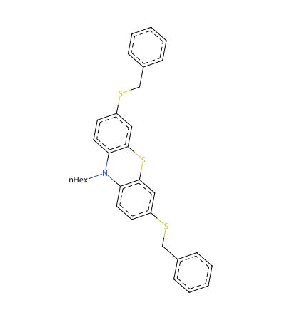 CCCCCCN1c2ccc(SCc3ccccc3)cc2Sc2cc(SCc3ccccc3)ccc21